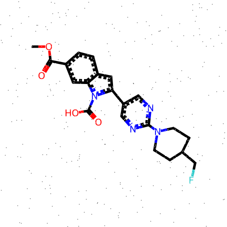 COC(=O)c1ccc2cc(-c3cnc(N4CCC(CF)CC4)nc3)n(C(=O)O)c2c1